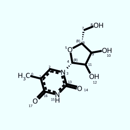 Cc1cn([C@@H]2O[C@H](CO)C(O)C2O)c(=O)[nH]c1=O